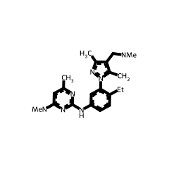 CCc1ccc(Nc2nc(C)cc(NC)n2)cc1-n1nc(C)c(CNC)c1C